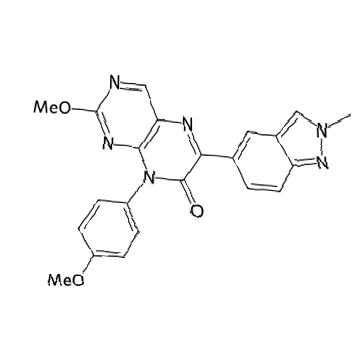 COc1ccc(-n2c(=O)c(-c3ccc4nn(C)cc4c3)nc3cnc(OC)nc32)cc1